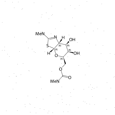 CNC(=O)OC[C@H]1O[C@@H]2SC(NC)=N[C@@H]2[C@@H](O)[C@H]1O